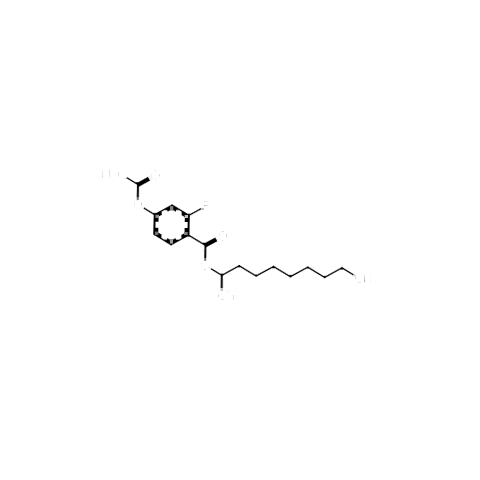 CCCCCCCCC(C)OC(=O)c1ccc(OC(C)=O)cc1F